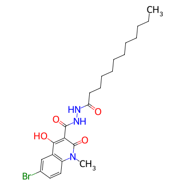 CCCCCCCCCCCC(=O)NNC(=O)c1c(O)c2cc(Br)ccc2n(C)c1=O